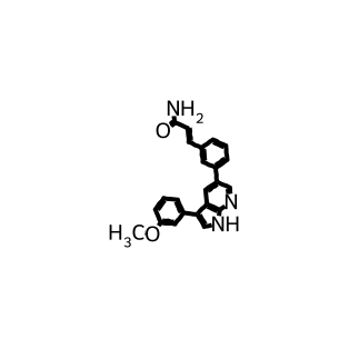 COc1cccc(-c2c[nH]c3ncc(-c4cccc(C=CC(N)=O)c4)cc23)c1